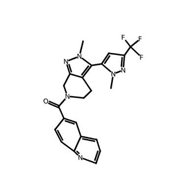 Cn1nc(C(F)(F)F)cc1-c1c2c(nn1C)CN(C(=O)c1ccc3ncccc3c1)CC2